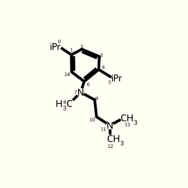 CC(C)c1ccc(C(C)C)c(N(C)CCN(C)C)c1